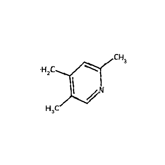 [CH2]c1cc(C)ncc1C